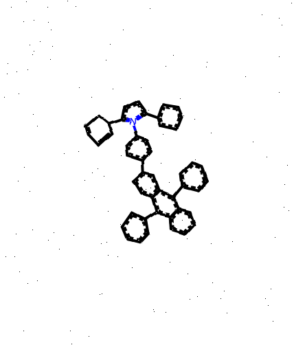 C1=CCC(c2ccc(-c3ccccc3)n2-c2ccc(-c3ccc4c(-c5ccccc5)c5ccccc5c(-c5ccccc5)c4c3)cc2)C=C1